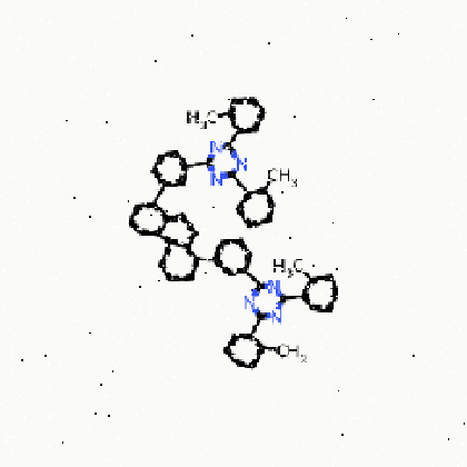 Cc1ccccc1-c1nc(-c2cccc(-c3cccc4c3ccc3c(-c5cccc(-c6nc(-c7ccccc7C)nc(-c7ccccc7C)n6)c5)cccc34)c2)nc(-c2ccccc2C)n1